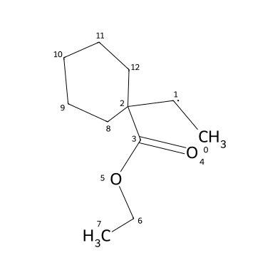 C[CH]C1(C(=O)OCC)CCCCC1